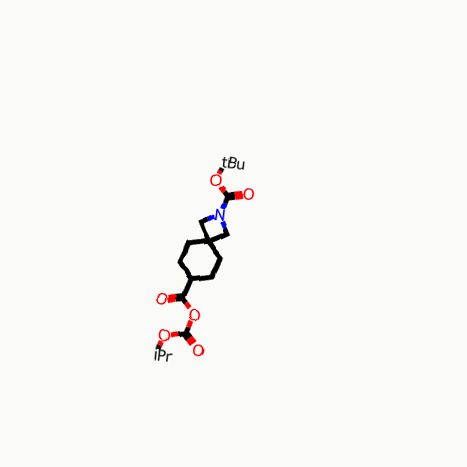 CC(C)OC(=O)OC(=O)C1CCC2(CC1)CN(C(=O)OC(C)(C)C)C2